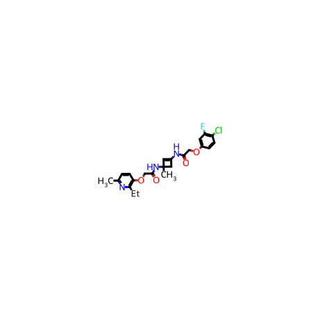 CCc1nc(C)ccc1OCC(=O)NC1(C)C=C(NC(=O)COc2ccc(Cl)c(F)c2)C1